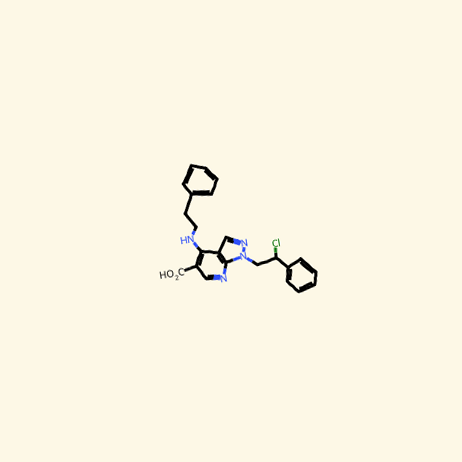 O=C(O)c1cnc2c(cnn2CC(Cl)c2ccccc2)c1NCCc1ccccc1